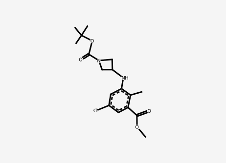 COC(=O)c1cc(Cl)cc(NC2CN(C(=O)OC(C)(C)C)C2)c1C